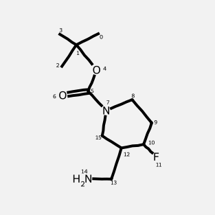 CC(C)(C)OC(=O)N1CCC(F)C(CN)C1